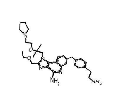 CCOCc1nc2c(N)nc3cc(Cc4ccc(CCN)cc4)ccc3c2n1CC(C)(C)OCCN1CCCC1